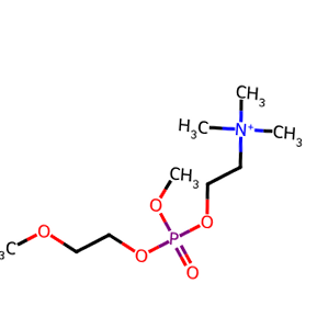 COCCOP(=O)(OC)OCC[N+](C)(C)C